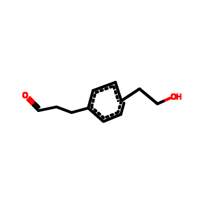 O=CCCc1ccc(CCO)cc1